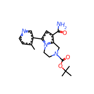 Cc1ccncc1-c1cc(C(N)=O)c2n1CCN(C(=O)OC(C)(C)C)C2